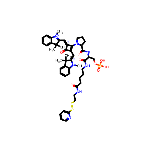 CN1/C(=C/C2=C(N3CCCC3C(=O)NC(COP(=O)(O)O)C(=O)NCCCCC(=O)NCCSSc3ccccn3)C(=C/C3=[N+](C)c4ccccc4C3(C)C)/C2=O)C(C)(C)c2ccccc21